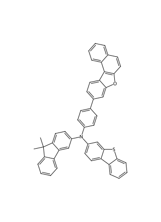 CC1(C)c2ccccc2-c2cc(N(c3ccc(-c4ccc5c(c4)oc4ccc6ccccc6c45)cc3)c3ccc4c(c3)sc3ccccc34)ccc21